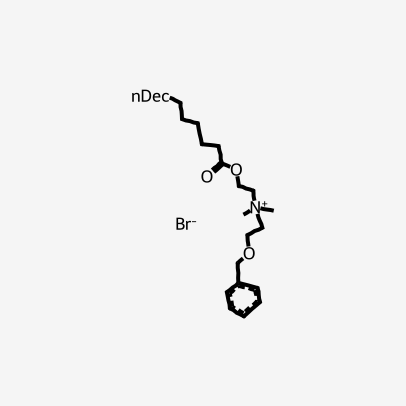 CCCCCCCCCCCCCCCC(=O)OCC[N+](C)(C)CCOCc1ccccc1.[Br-]